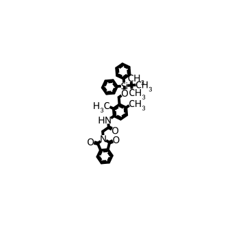 Cc1ccc(NC(=O)CN2C(=O)c3ccccc3C2=O)c(C)c1CO[Si](c1ccccc1)(c1ccccc1)C(C)(C)C